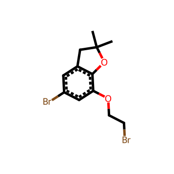 CC1(C)Cc2cc(Br)cc(OCCBr)c2O1